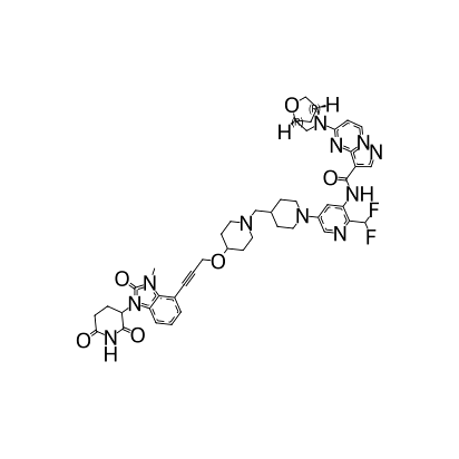 Cn1c(=O)n(C2CCC(=O)NC2=O)c2cccc(C#CCOC3CCN(CC4CCN(c5cnc(C(F)F)c(NC(=O)c6cnn7ccc(N8C[C@H]9C[C@@H]8CO9)nc67)c5)CC4)CC3)c21